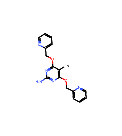 N#Cc1c(OCc2ccccn2)nc(N)nc1OCc1ccccn1